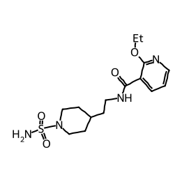 CCOc1ncccc1C(=O)NCCC1CCN(S(N)(=O)=O)CC1